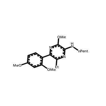 CCCCCNc1nc(CC)c(-c2ccc(OC)cc2OC)nc1OC